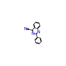 N#Cc1nc(-c2ccccc2)nc2ccccc12